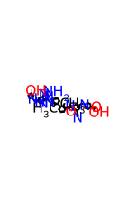 Cc1c(Nc2nc(N)nc3cc(CN4CC[C@H](O)C4)cnc23)cccc1-c1cccc(-c2nc3cc(CN4CCC(C(=O)O)CC4)cc(C#N)c3o2)c1C